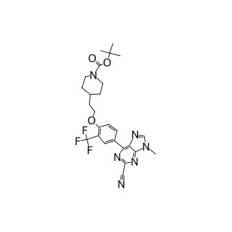 Cn1cnc2c(-c3ccc(OCCC4CCN(C(=O)OC(C)(C)C)CC4)c(C(F)(F)F)c3)nc(C#N)nc21